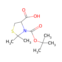 CC(C)(C)OC(=O)N1C(C(=O)O)CSC1(C)C